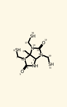 CC12C(NC(=O)N1CS)N(CS)C(=O)N2CS